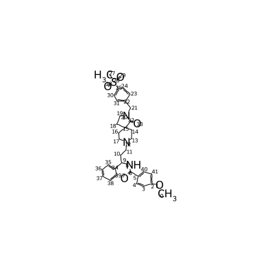 COc1ccc(C(=O)NC(CCN2CCC3(CC2)CCN(Cc2ccc(S(C)(=O)=O)cc2)C3=O)c2ccccc2)cc1